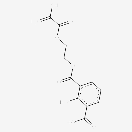 C=C(C)C(=O)OCCOC(=O)c1cccc(C(=O)O)c1O